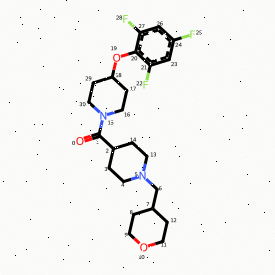 O=C(C1CCN(CC2CCOCC2)CC1)N1CCC(Oc2c(F)cc(F)cc2F)CC1